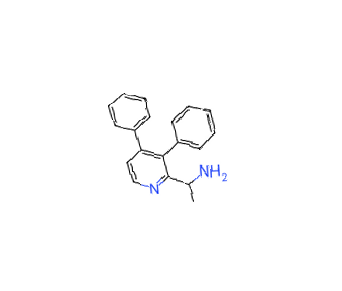 CC(N)c1nccc(-c2ccccc2)c1-c1ccccc1